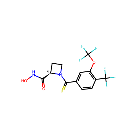 O=C(NO)[C@H]1CCN1C(=S)c1ccc(C(F)(F)F)c(OC(F)(F)F)c1